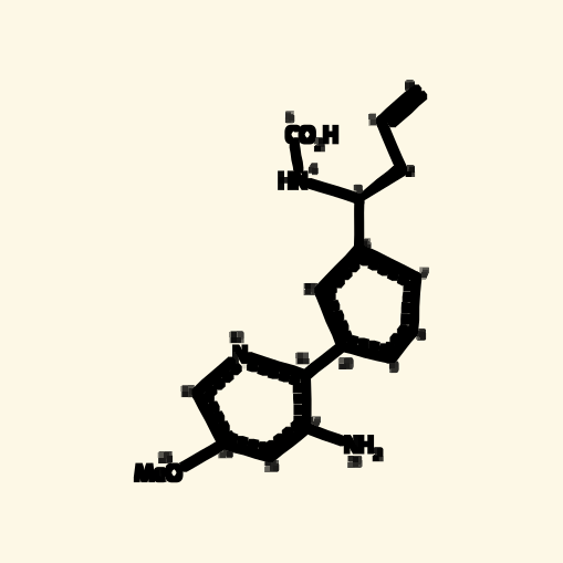 C=CC[C@H](NC(=O)O)c1cccc(-c2ncc(OC)cc2N)c1